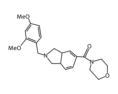 COc1ccc(CN2CC3C=CC(C(=O)N4CCOCC4)=CC3C2)c(OC)c1